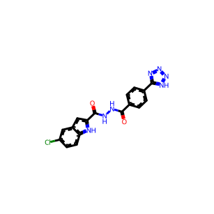 O=C(NNC(=O)c1cc2cc(Cl)ccc2[nH]1)c1ccc(-c2nnn[nH]2)cc1